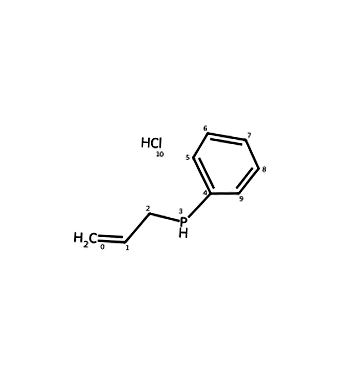 C=CCPc1ccccc1.Cl